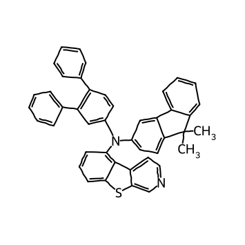 CC1(C)c2ccccc2-c2cc(N(c3ccc(-c4ccccc4)c(-c4ccccc4)c3)c3cccc4sc5cnccc5c34)ccc21